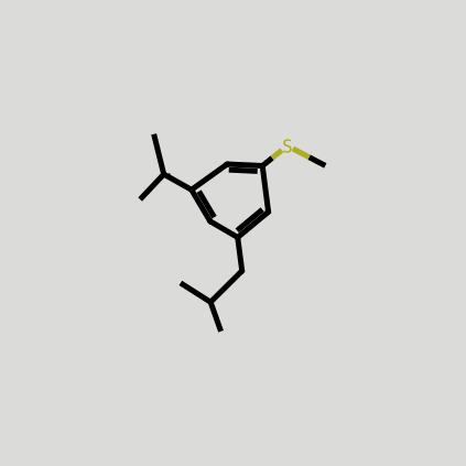 CSc1cc(CC(C)C)cc([C](C)C)c1